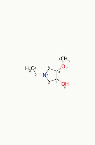 CCN1CC(O)C(OC)C1